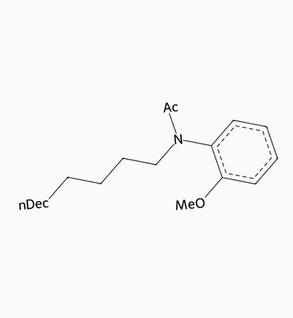 CCCCCCCCCCCCCCN(C(C)=O)c1ccccc1OC